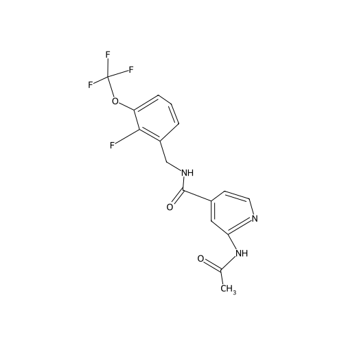 CC(=O)Nc1cc(C(=O)NCc2cccc(OC(F)(F)F)c2F)ccn1